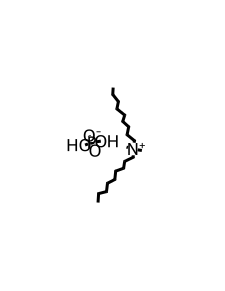 CCCCCCCCC[N+](C)(C)CCCCCCCCC.O=P([O-])(O)O